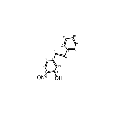 O=Nc1ccc(/C=C/c2ccccc2)cc1O